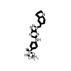 CNP(=O)(OC)c1ccc(Nc2cnc3nnn(Cc4ccc5ncccc5c4)c3n2)cc1